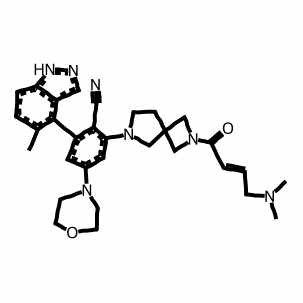 Cc1ccc2[nH]ncc2c1-c1cc(N2CCOCC2)cc(N2CCC3(CN(C(=O)/C=C/CN(C)C)C3)C2)c1C#N